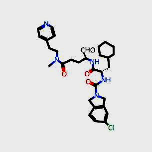 CN(CCc1ccncc1)C(=O)CC[C@@H](C=O)NC(=O)[C@H](CC1CCCCC1)NC(=O)N1Cc2ccc(Cl)cc2C1